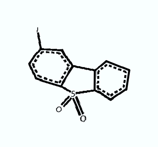 O=S1(=O)c2ccccc2-c2cc(I)ccc21